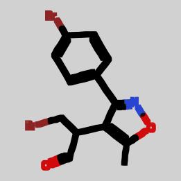 Cc1onc(-c2ccc(Br)cc2)c1C(C=O)CBr